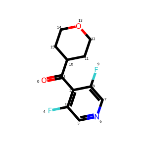 O=C(c1c(F)cncc1F)C1CCOCC1